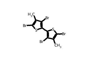 Cc1c(Br)sc(-c2sc(Br)c(C)c2Br)c1Br